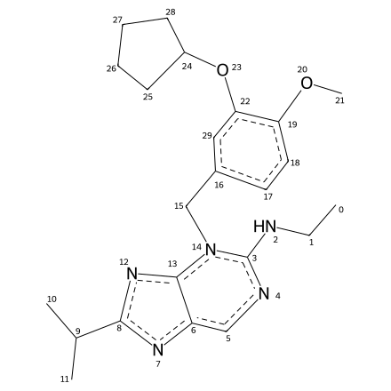 CCNc1ncc2nc(C(C)C)nc-2n1Cc1ccc(OC)c(OC2CCCC2)c1